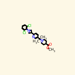 COC(=O)C1CCN(C(C)(C)c2ccc(C3CN(c4c(Cl)cccc4Cl)C3)nc2)CC1